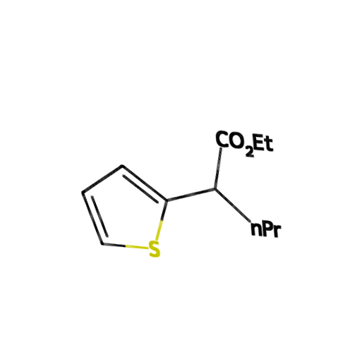 CCCC(C(=O)OCC)c1cccs1